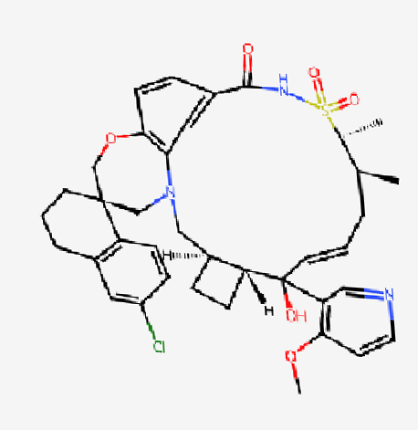 COc1ccncc1[C@@]1(O)/C=C/C[C@H](C)[C@@H](C)S(=O)(=O)NC(=O)c2ccc3c(c2)N(C[C@@H]2CC[C@H]21)C[C@@]1(CCCc2cc(Cl)ccc21)CO3